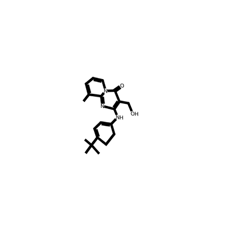 Cc1cccn2c(=O)c(CO)c(NC3=CC=C(C(C)(C)C)CC3)nc12